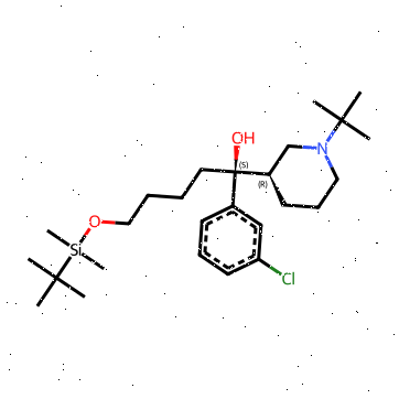 CC(C)(C)N1CCC[C@@H]([C@@](O)(CCCCO[Si](C)(C)C(C)(C)C)c2cccc(Cl)c2)C1